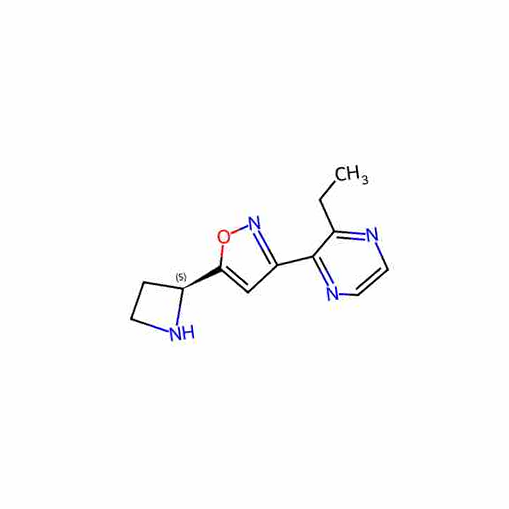 CCc1nccnc1-c1cc([C@@H]2CCN2)on1